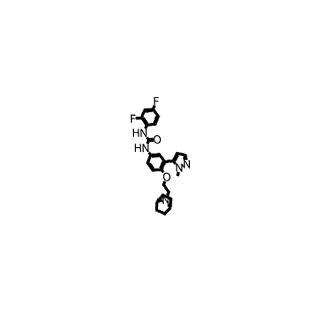 Cn1nccc1-c1cc(NC(=O)Nc2ccc(F)cc2F)ccc1OCCN1C2CCC1CC2